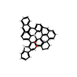 c1ccc(N(c2ccccc2-c2cccc3c2oc2ccccc23)c2ccccc2-c2cccc3cccc(C4CCCCC4)c23)c(-c2cccc3ccccc23)c1